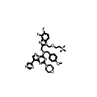 COc1ccc(CN(Cc2nc3c(F)c(F)ccc3n2COCCS(C)(C)C)c2nc(N3CCOCC3)nc3c(-c4cncs4)cnn23)cc1